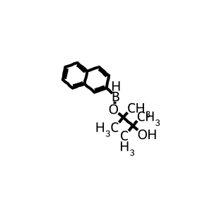 CC(C)(O)C(C)(C)OBc1ccc2ccccc2c1